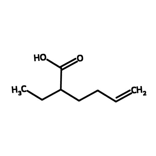 C=CCCC(CC)C(=O)O